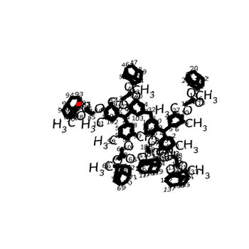 Cc1cc(C(c2cc(C)c(OCC(=O)OC3(C)C4CC5CC(C4)CC3C5)c(C)c2)c2cc(Cc3ccc(OCC(=O)OC4(C)C5CC6CC(C5)CC4C6)c(C(c4cc(C)c(OCC(=O)OC5(C)C6CC7CC(C6)CC5C7)c(C)c4)c4cc(C)c(OCC(=O)OC5(C)C6CC7CC(C6)CC5C7)c(C)c4)c3)ccc2OCC(=O)OC2(C)C3CC4CC(C3)CC2C4)cc(C)c1OCC(=O)OC1(C)C2CC3CC(C2)CC1C3